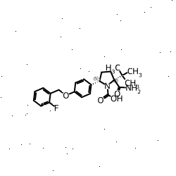 CC(C)(C)[C@@]1(C(N)=O)CC[C@@H](c2ccc(OCc3ccccc3F)cc2)N1C(=O)O